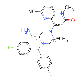 C[C@H]1CN(C(c2ccc(F)cc2)c2ccc(F)cc2)[C@H](CN)CN1c1cc(=O)n(C)c2ccc(C#N)nc12